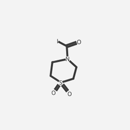 O=C(I)N1CCS(=O)(=O)CC1